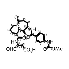 COC(=O)Nc1ccc(C(=O)N[C@H]2CCC(=O)N3CCC[C@@H](C(=O)N[C@H](C=O)CC(=O)O)N3C2=O)cc1